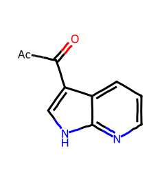 CC(=O)C(=O)c1c[nH]c2ncccc12